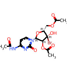 CC(=O)Nc1ccn([C@@H]2O[C@H](COC(C)=O)[C@@](O)(Br)[C@H]2OC(C)=O)c(=O)n1